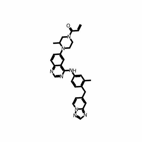 C=CC(=O)N1CCN(c2ccc3ncnc(Nc4ccc(Cc5ccn6ncnc6c5)c(C)c4)c3c2)C(C)C1